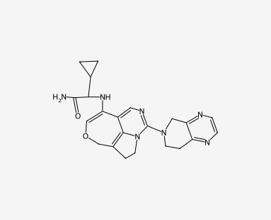 NC(=O)C(NC1=COCC2=C3C1=CN=C(N1CCc4nccnc4C1)N3CC2)C1CC1